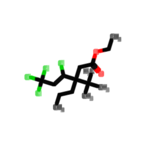 CCCC(CC(=O)OCC)(C(Cl)CC(Cl)(Cl)Cl)C(C)(C)C